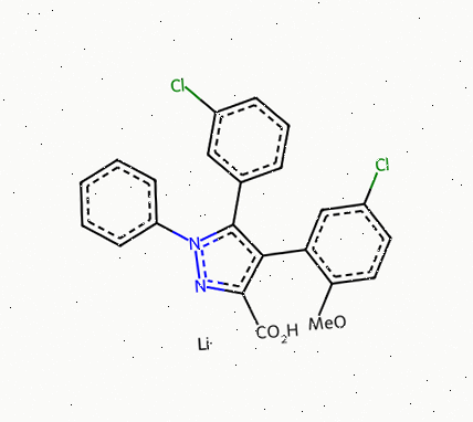 COc1ccc(Cl)cc1-c1c(C(=O)O)nn(-c2ccccc2)c1-c1cccc(Cl)c1.[Li]